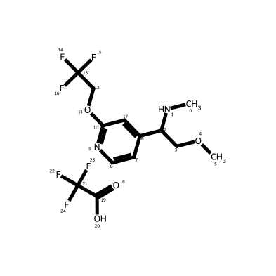 CNC(COC)c1ccnc(OCC(F)(F)F)c1.O=C(O)C(F)(F)F